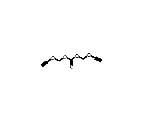 C#COCOC(=O)OCOC#C